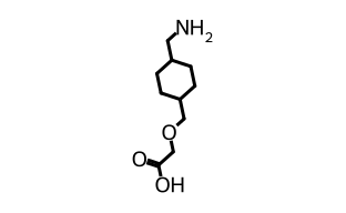 NCC1CCC(COCC(=O)O)CC1